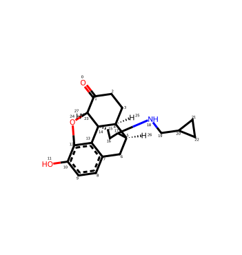 O=C1CC[C@H]2[C@H]3Cc4ccc(O)c5c4[C@@]2(CCC3NCC2CC2)[C@H]1O5